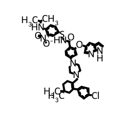 CC(C)Nc1ccc(SNC(=O)c2ccc(N3CCN(CC4=C(c5ccc(Cl)cc5)CC(C)(C)CC4)CC3)cc2Oc2cnc3[nH]ccc3c2)cc1[N+](=O)[O-]